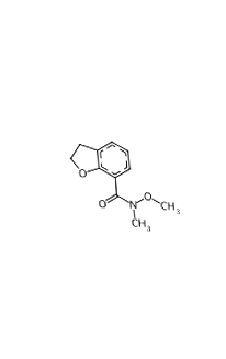 CON(C)C(=O)c1cccc2c1OCC2